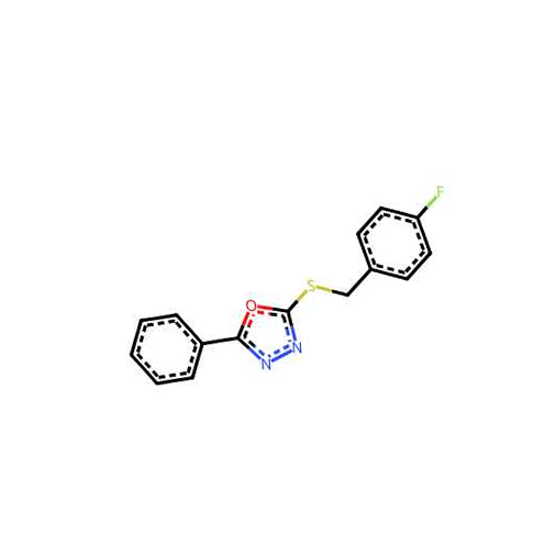 Fc1ccc(CSc2nnc(-c3ccccc3)o2)cc1